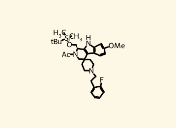 COc1ccc2c3c([nH]c2c1)[C@H](CO[Si](C)(C)C(C)(C)C)N(C(C)=O)CC31CCN(CCc2ccccc2F)CC1